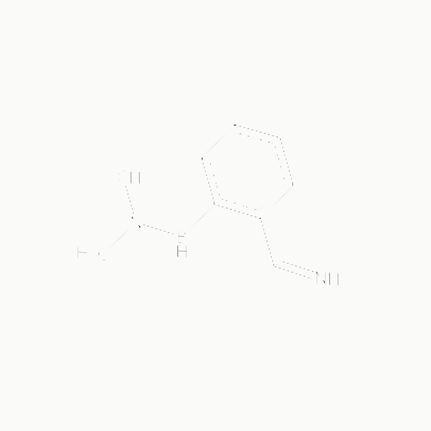 CN(C)Bc1ccccc1C=N